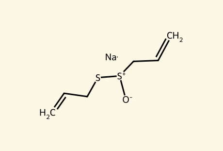 C=CCS[S+]([O-])CC=C.[Na]